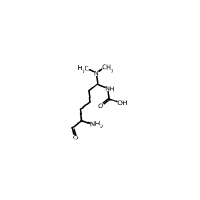 CN(C)C(CCCC(N)C=O)NC(=O)O